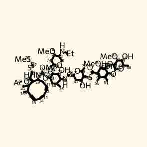 CCNC1COC(OC2C(O[C@H]3C#C/C=C\C#CC(C)[C@](O)(CC(C)=O)/C(=C/CSSSC)C3NC(=O)OC)CC(C)C(NOC3CC(O)C(SC(=O)c4c(C)c(I)c(OC5OC(C)C(O)C(OC)C5O)c(OC)c4OC)C(C)O3)C2O)CC1OC